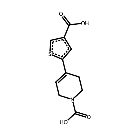 O=C(O)c1csc(C2=CCN(C(=O)O)CC2)c1